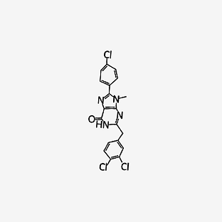 Cn1c(-c2ccc(Cl)cc2)nc2c(=O)[nH]c(Cc3ccc(Cl)c(Cl)c3)nc21